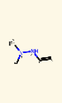 C=CNN(C)C(C)C